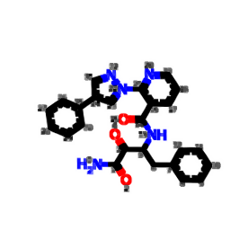 NC(=O)C(=O)C(Cc1ccccc1)NC(=O)c1cccnc1-n1cc(-c2ccccc2)cn1